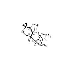 CO[C@@]1(C)O[C@@H]2[C@@H](CF)C3(CC3)NC[C@H]2O[C@]1(C)OC